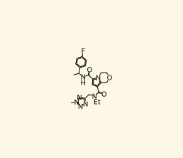 CCN(Cc1nnn(C)n1)C(=O)c1cc(C(=O)NC(C)c2ccc(F)cc2)n2c1COCC2